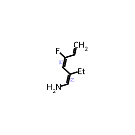 C=C/C(F)=C\C(=C/N)CC